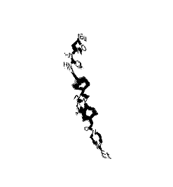 CCN1CCN(C(=O)Cc2ccc3c(c2)sc2nc(-c4ccc(NC(=O)Nc5cc(C(C)(C)C)on5)cc4)cn23)CC1